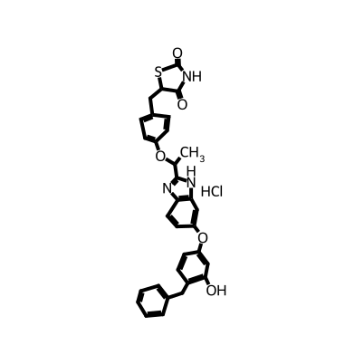 CC(Oc1ccc(CC2SC(=O)NC2=O)cc1)c1nc2ccc(Oc3ccc(Cc4ccccc4)c(O)c3)cc2[nH]1.Cl